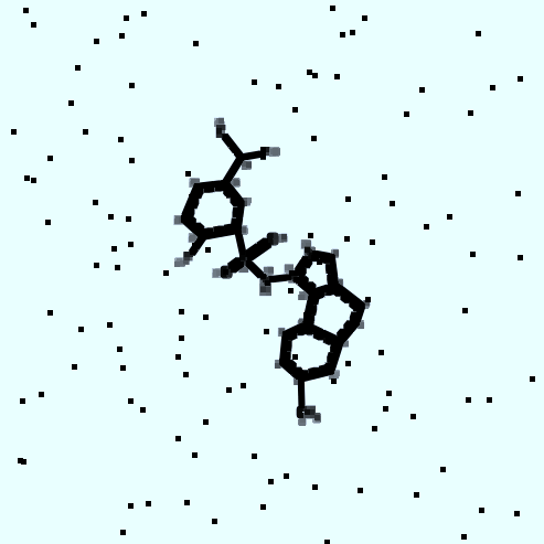 Cc1ccc2c(ccc3cnn(NS(=O)(=O)c4cc(C(F)F)ccc4F)c32)c1